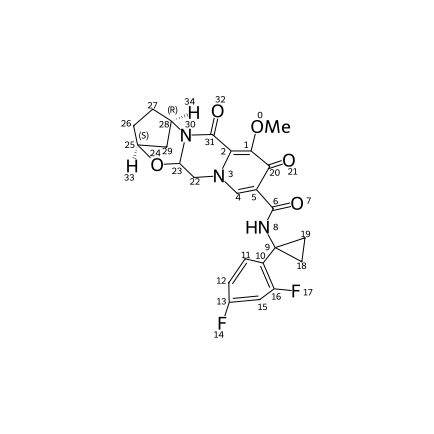 COc1c2n(cc(C(=O)NC3(c4ccc(F)cc4F)CC3)c1=O)CC1O[C@H]3CC[C@H](C3)N1C2=O